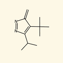 C=C1N=NC(C(C)C)=C1C(C)(C)C